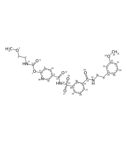 COCCNC(=O)Oc1ccc(C(=O)NS(=O)(=O)c2cccc(C(=O)NCCc3cccc(OC)c3)c2)cn1